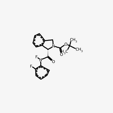 CC(C)(C)OC(=O)N1Cc2ccccc2[C@H]1C(=O)N(F)c1ccccc1F